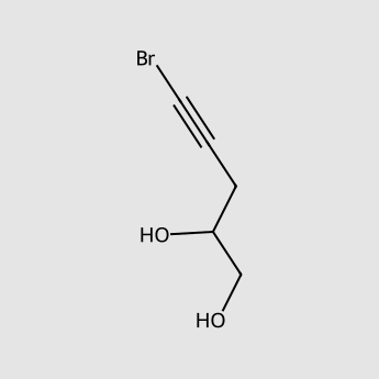 OCC(O)CC#CBr